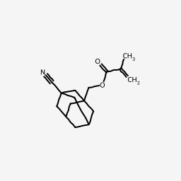 C=C(C)C(=O)OCC12CC3CC(CC(C#N)(C3)C1)C2